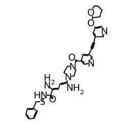 N/C(=C\C=C(/N)N1CCN(C(=O)c2cncc(C#Cc3cncc(OC4CCCCO4)c3)c2)CC1)C(=O)NSCc1ccccc1